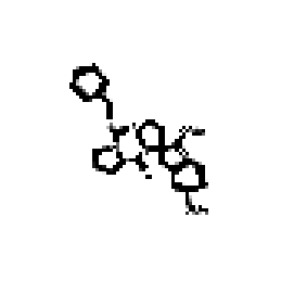 COC(=O)C1(Cc2cccc(OC)c2)CCCN1C(=O)[C@@H]1CCCN1C(=O)OCc1ccccc1